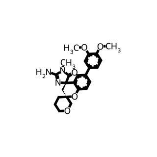 COc1ccc(-c2ccc3c(c2)[C@]2(C[C@]4(CCCOC4)O3)N=C(N)N(C)C2=O)cc1OC